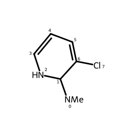 CN[C]1NC=CC=C1Cl